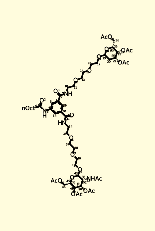 CCCCCCCCC(=O)Nc1cc(C(=O)NCCOCCOCCOC2C[C@@H](OC(C)=O)[C@@H](OC(C)=O)[C@@H](COC(C)=O)O2)cc(C(=O)NCCOCCOCCOC2O[C@H](COC(C)=O)[C@H](OC(C)=O)[C@H](OC(C)=O)[C@H]2NC(C)=O)c1